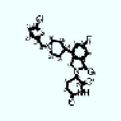 O=C1CCC(N2Cc3c(cc(F)cc3C3CCN(Cc4ccc(Cl)s4)CC3)C2=O)C(=O)N1